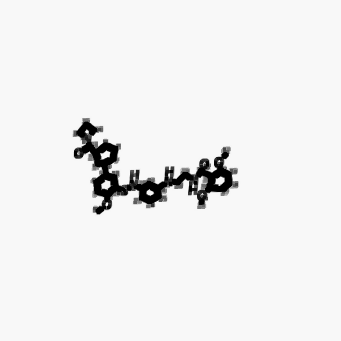 COc1ccc(-c2cccc(C(=O)N3CCC3)c2)cc1SNc1cccc(NCCNC(=O)c2c(OC)cccc2OC)c1